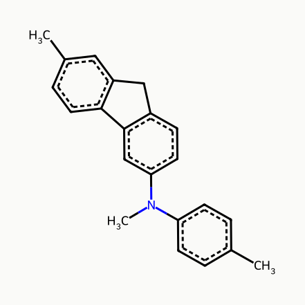 Cc1ccc(N(C)c2ccc3c(c2)-c2ccc(C)cc2C3)cc1